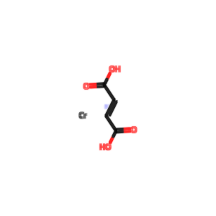 O=C(O)/C=C/C(=O)O.[Cr]